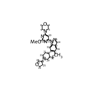 COc1nc(N2CCOCC2)cc(-n2ncc3cc(C)c([C@H]4CCN(C5CCOC5)C[C@H]4F)cc32)n1